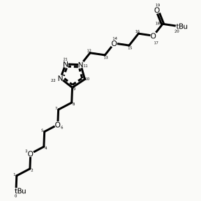 CC(C)(C)CCOCCOCCc1cn(CCOCCOC(=O)C(C)(C)C)nn1